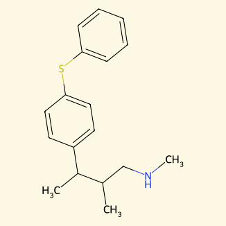 CNCC(C)C(C)c1ccc(Sc2ccccc2)cc1